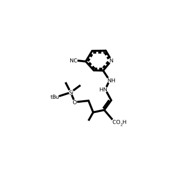 CC(CO[Si](C)(C)C(C)(C)C)C(=CNNc1cc(C#N)ccn1)C(=O)O